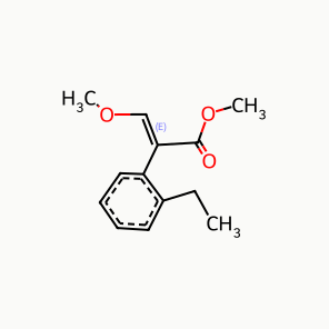 CCc1ccccc1/C(=C\OC)C(=O)OC